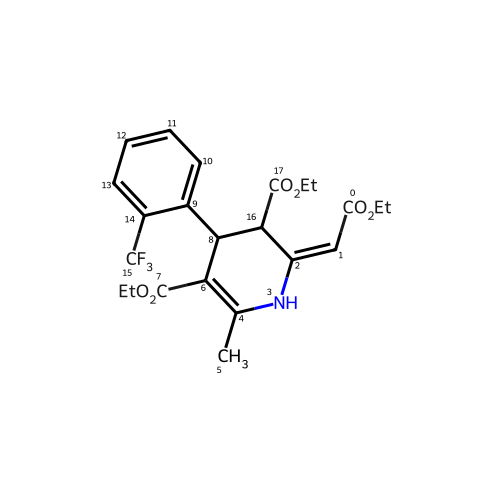 CCOC(=O)/C=C1/NC(C)=C(C(=O)OCC)C(c2ccccc2C(F)(F)F)C1C(=O)OCC